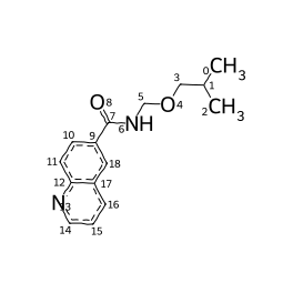 CC(C)COCNC(=O)c1ccc2ncccc2c1